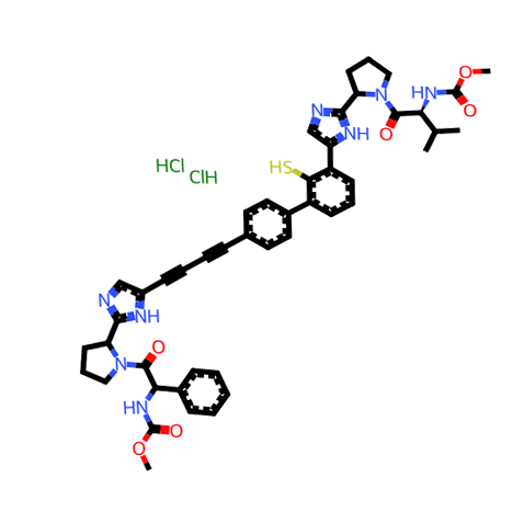 COC(=O)NC(C(=O)N1CCCC1c1ncc(C#CC#Cc2ccc(-c3cccc(-c4cnc(C5CCCN5C(=O)[C@@H](NC(=O)OC)C(C)C)[nH]4)c3S)cc2)[nH]1)c1ccccc1.Cl.Cl